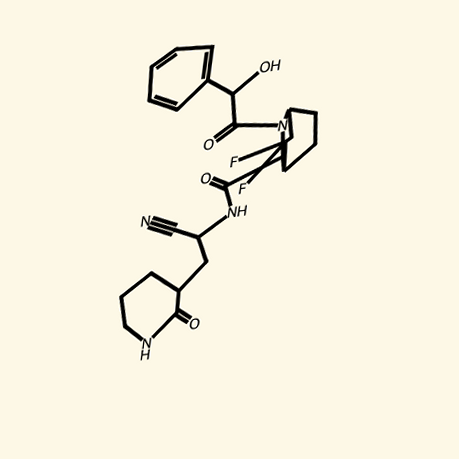 N#CC(CC1CCCNC1=O)NC(=O)C1C2CCC(CC2(F)F)N1C(=O)C(O)c1ccccc1